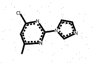 Cc1cc(Cl)nc(-n2ccnc2)n1